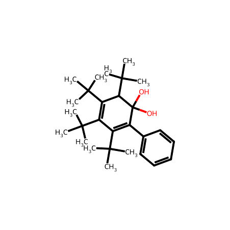 CC(C)(C)C1=C(C(C)(C)C)C(C(C)(C)C)C(O)(O)C(c2ccccc2)=C1C(C)(C)C